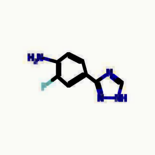 Nc1ccc(-c2nc[nH]n2)cc1F